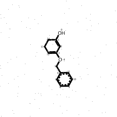 OC1=CC(OCc2ccccc2)=CC[CH]1